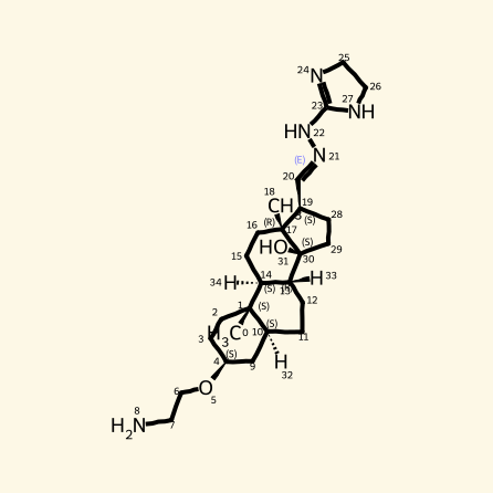 C[C@]12CC[C@H](OCCN)C[C@@H]1CC[C@@H]1[C@@H]2CC[C@]2(C)[C@@H](/C=N/NC3=NCCN3)CC[C@]12O